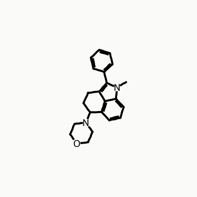 Cn1c(-c2ccccc2)c2c3c(cccc31)C(N1CCOCC1)CC2